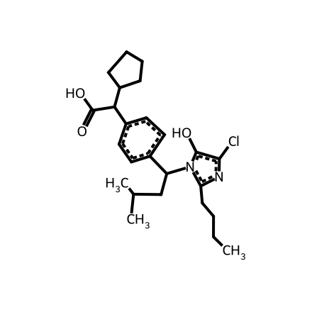 CCCCc1nc(Cl)c(O)n1C(CC(C)C)c1ccc(C(C(=O)O)C2CCCC2)cc1